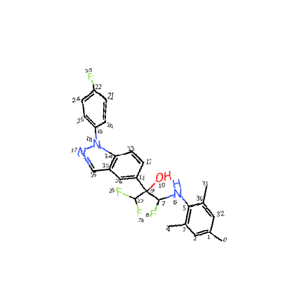 Cc1cc(C)c(NC(F)C(O)(c2ccc3c(cnn3-c3ccc(F)cc3)c2)C(F)F)c(C)c1